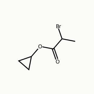 CC(Br)C(=O)OC1CC1